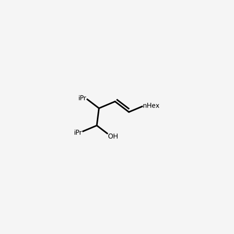 CCCCCC/C=C/C(C(C)C)C(O)C(C)C